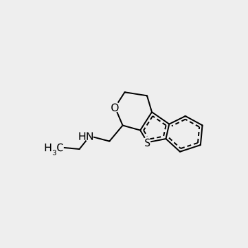 CCNCC1OCCc2c1sc1ccccc21